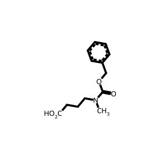 CN(CCCC(=O)O)C(=O)OCc1ccccc1